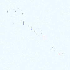 O=C(c1cccc2ccccc12)N1CCN(c2ccc(OCCCN3CCOC4CCCCC43)cc2)CC1